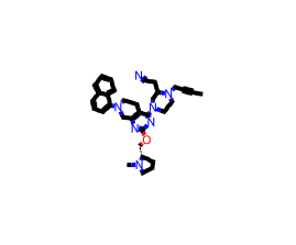 CC#CCN1CCN(c2nc(OC[C@@H]3CCCN3C)nc3c2CCN(c2cccc4ccccc24)C3)CC1CC#N